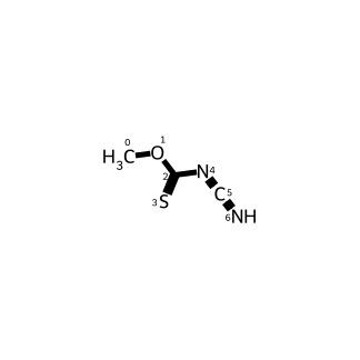 COC(=S)N=C=N